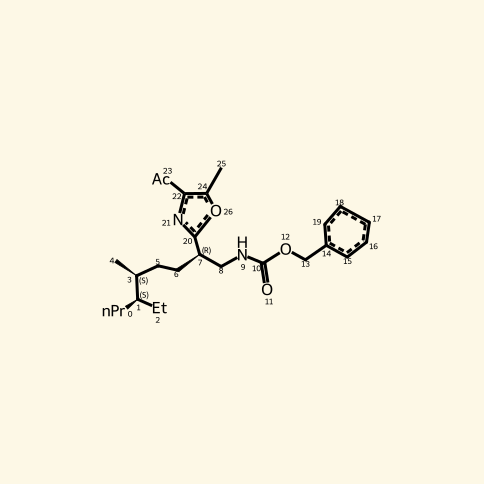 CCC[C@H](CC)[C@@H](C)CC[C@H](CNC(=O)OCc1ccccc1)c1nc(C(C)=O)c(C)o1